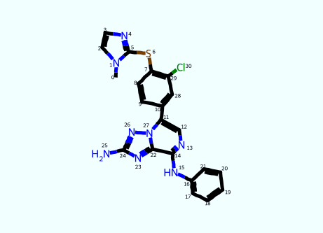 Cn1ccnc1Sc1ccc(-c2cnc(Nc3ccccc3)c3nc(N)nn23)cc1Cl